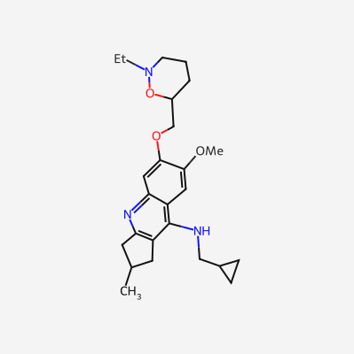 CCN1CCCC(COc2cc3nc4c(c(NCC5CC5)c3cc2OC)CC(C)C4)O1